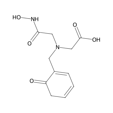 O=C(O)CN(CC(=O)NO)CC1=CC=CCC1=O